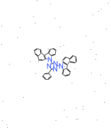 c1ccc(-c2nc(-n3c4ccccc4c4c5ccccc5ccc43)nc(-n3c4ccccc4c4c5ccccc5ccc43)n2)cc1